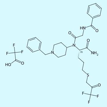 NC(=O)[C@H](CCCSCC(=O)C(F)(F)F)N(C(=O)CNC(=O)c1ccccc1)C1CCN(Cc2ccccc2)CC1.O=C(O)C(F)(F)F